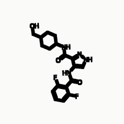 O=C(NC1CCC(CO)CC1)c1n[nH]cc1NC(=O)c1c(F)cccc1F